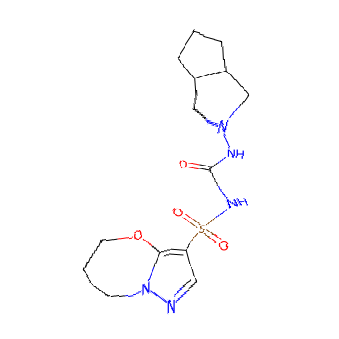 O=C(NN1CC2CCCC2C1)NS(=O)(=O)c1cnn2c1OCCC2